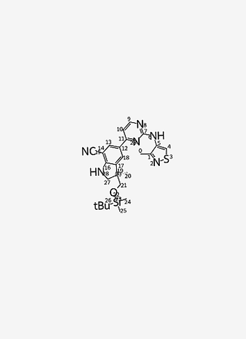 Cc1nscc1Nc1nccc(-c2cc(C#N)c3c(c2)[C@@](C)(CO[Si](C)(C)C(C)(C)C)CN3)n1